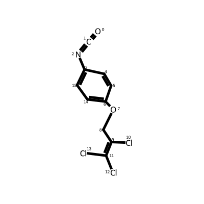 O=C=Nc1ccc(OCC(Cl)=C(Cl)Cl)cc1